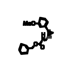 COc1cccc([C@H]2C[C@@H]2CNC(=O)OCc2ccccc2)c1